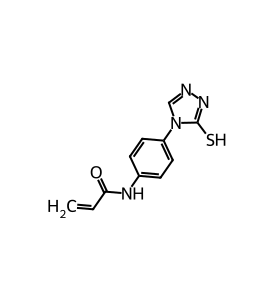 C=CC(=O)Nc1ccc(-n2cnnc2S)cc1